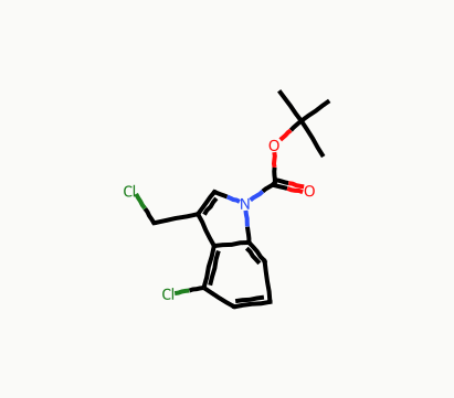 CC(C)(C)OC(=O)n1cc(CCl)c2c(Cl)cccc21